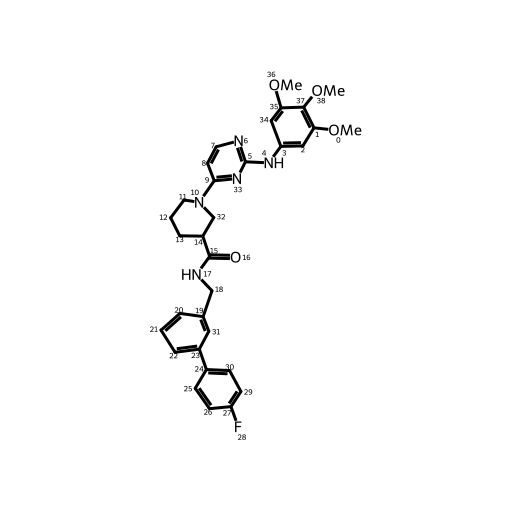 COc1cc(Nc2nccc(N3CCCC(C(=O)NCc4cccc(-c5ccc(F)cc5)c4)C3)n2)cc(OC)c1OC